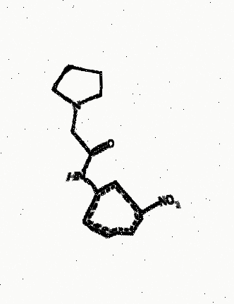 O=C(CN1CCCC1)Nc1cccc([N+](=O)[O-])c1